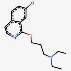 CCN(CC)CCCOc1nccc2ccc(Cl)cc12